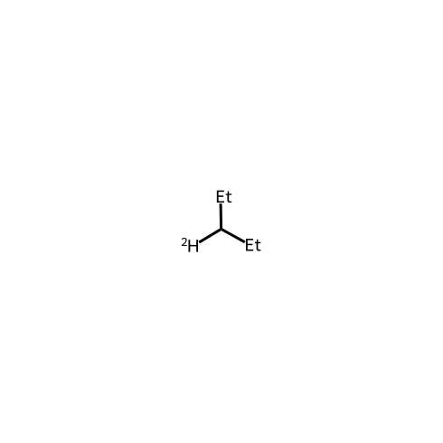 [2H]C(C[CH2])CC